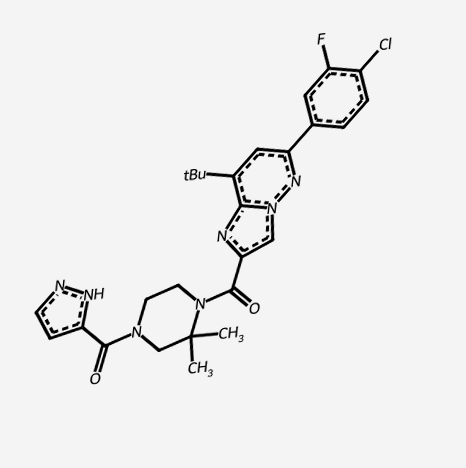 CC(C)(C)c1cc(-c2ccc(Cl)c(F)c2)nn2cc(C(=O)N3CCN(C(=O)c4ccn[nH]4)CC3(C)C)nc12